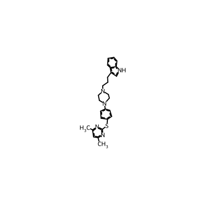 Cc1cc(C)nc(Sc2ccc(N3CCN(CCCc4c[nH]c5ccccc45)CC3)cc2)n1